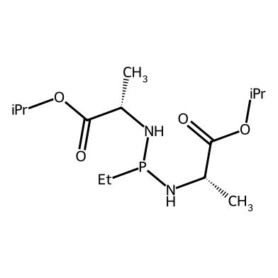 CCP(N[C@@H](C)C(=O)OC(C)C)N[C@@H](C)C(=O)OC(C)C